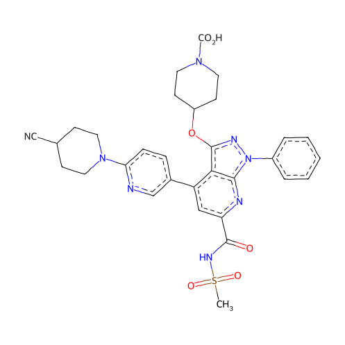 CS(=O)(=O)NC(=O)c1cc(-c2ccc(N3CCC(C#N)CC3)nc2)c2c(OC3CCN(C(=O)O)CC3)nn(-c3ccccc3)c2n1